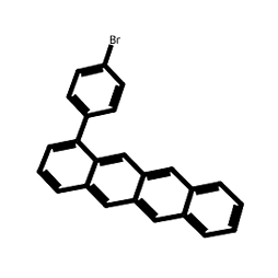 Brc1ccc(-c2cccc3cc4cc5ccccc5cc4cc23)cc1